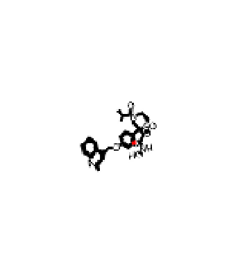 Cc1cc(COc2ccc(C3(CC(=O)NO)CN(C(=O)C(C)C)CCS3(=O)=O)cc2)c2ccccc2n1